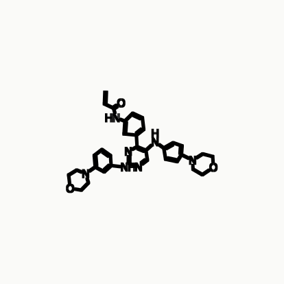 C=CC(=O)Nc1cccc(-c2nc(Nc3cccc(N4CCOCC4)c3)ncc2Nc2ccc(N3CCOCC3)cc2)c1